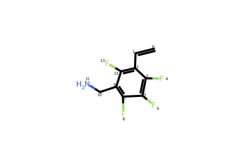 C=Cc1c(F)c(F)c(F)c(CN)c1F